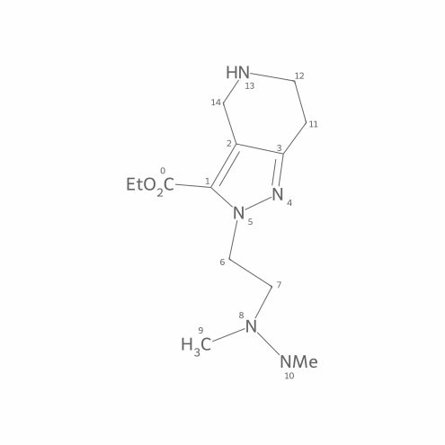 CCOC(=O)c1c2c(nn1CCN(C)NC)CCNC2